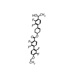 CCOc1ccc(-c2ccc(C(=O)OC3CC=C(c4ccc(C(C)O)c(F)c4F)CC3)c(F)c2F)c(F)c1F